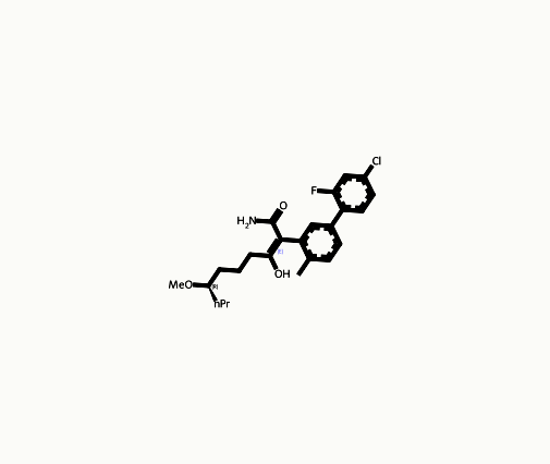 CCC[C@H](CCC/C(O)=C(\C(N)=O)c1cc(-c2ccc(Cl)cc2F)ccc1C)OC